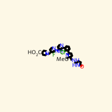 COc1nc(-c2cccc(-c3nccc(Nc4nccc(CN5CCC(C(=O)O)CC5)c4F)c3Cl)c2Cl)ccc1CNCC1CCC(=O)N1